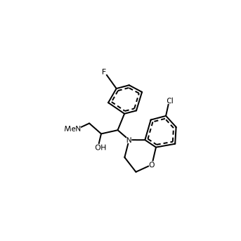 CNCC(O)C(c1cccc(F)c1)N1CCOc2ccc(Cl)cc21